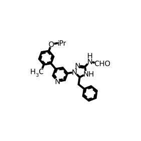 Cc1ccc(OC(C)C)cc1-c1cncc(N2N=C(NC=O)NC2Cc2ccccc2)c1